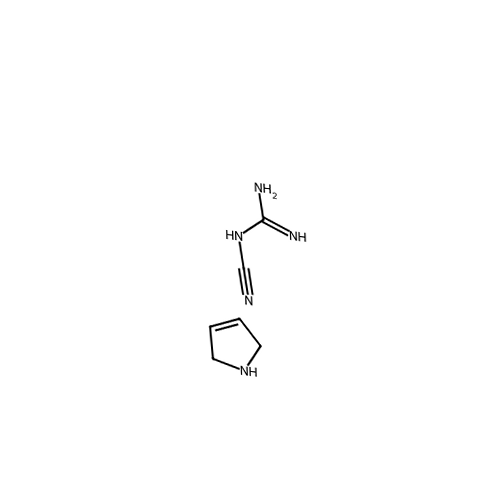 C1=CCNC1.N#CNC(=N)N